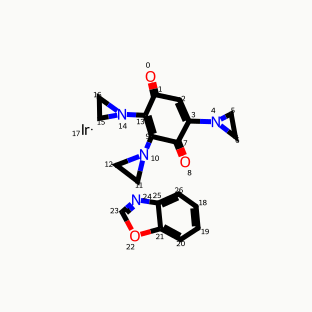 O=C1C=C(N2CC2)C(=O)C(N2CC2)=C1N1CC1.[Ir].c1ccc2ocnc2c1